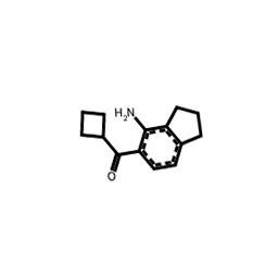 Nc1c(C(=O)C2CCC2)ccc2c1CCC2